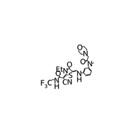 CCn1c(=C(C#N)C(=O)NCC(F)(F)F)sc(=CNc2cccc(N(C)C(=O)CN3CCOCC3)c2)c1=O